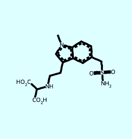 Cn1cc(CCNC(C(=O)O)C(=O)O)c2cc(CS(N)(=O)=O)ccc21